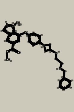 COC(=O)c1cc(Oc2ccc(N3CC(OCCOCc4ccccc4)C3)cc2)c2c(cnn2C)c1